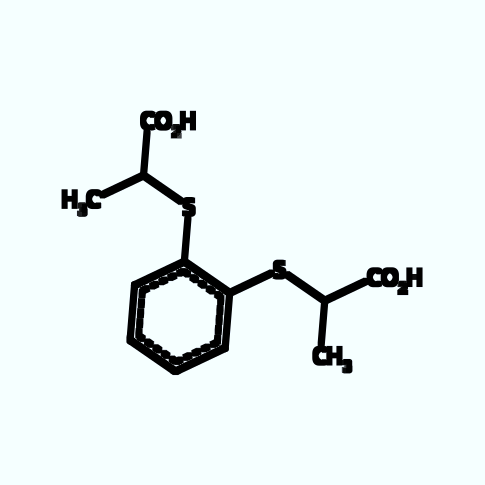 CC(Sc1ccccc1SC(C)C(=O)O)C(=O)O